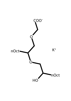 CCCCCCCCC(O)COC(CCCCCCCC)COCC(=O)[O-].[K+]